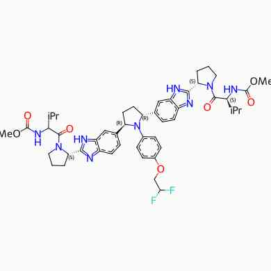 COC(=O)NC(C(=O)N1CCC[C@H]1c1nc2ccc([C@H]3CC[C@H](c4ccc5nc([C@@H]6CCCN6C(=O)[C@@H](NC(=O)OC)C(C)C)[nH]c5c4)N3c3ccc(OCC(F)F)cc3)cc2[nH]1)C(C)C